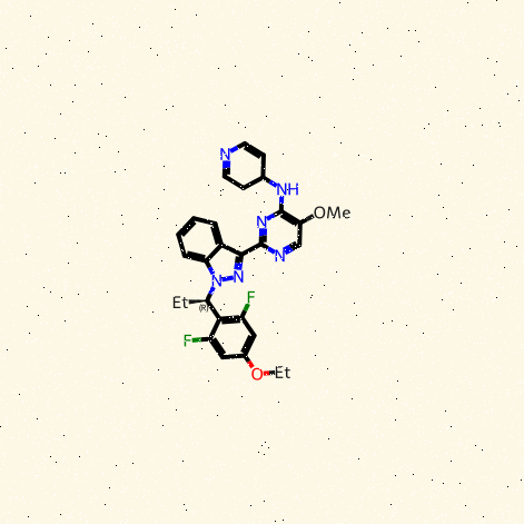 CCOc1cc(F)c([C@@H](CC)n2nc(-c3ncc(OC)c(NC4C=CN=CC4)n3)c3ccccc32)c(F)c1